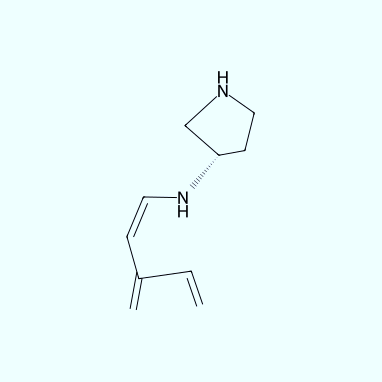 C=CC(=C)/C=C\N[C@H]1CCNC1